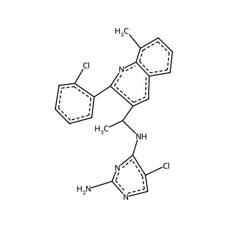 Cc1cccc2cc(C(C)Nc3nc(N)ncc3Cl)c(-c3ccccc3Cl)nc12